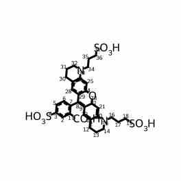 O=C(O)c1cc(S(=O)(=O)O)ccc1C1=C2C=C3CCCN(CCCS(=O)(=O)O)C3=CC2Oc2cc3c(cc21)CCCN3CCCS(=O)(=O)O